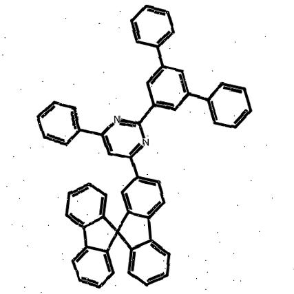 c1ccc(-c2cc(-c3ccccc3)cc(-c3nc(-c4ccccc4)cc(-c4ccc5c(c4)C4(c6ccccc6-c6ccccc64)c4ccccc4-5)n3)c2)cc1